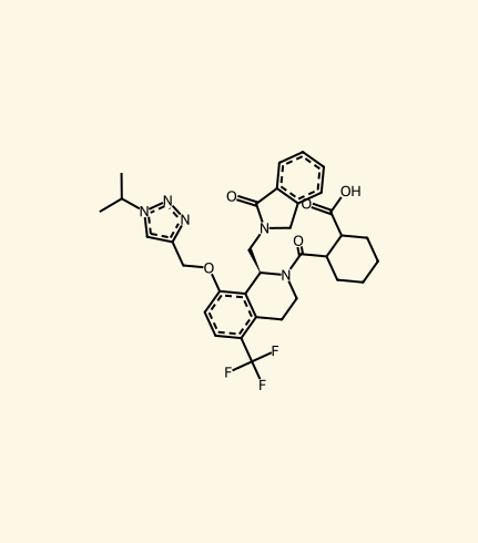 CC(C)n1cc(COc2ccc(C(F)(F)F)c3c2[C@@H](CN2Cc4ccccc4C2=O)N(C(=O)C2CCCCC2C(=O)O)CC3)nn1